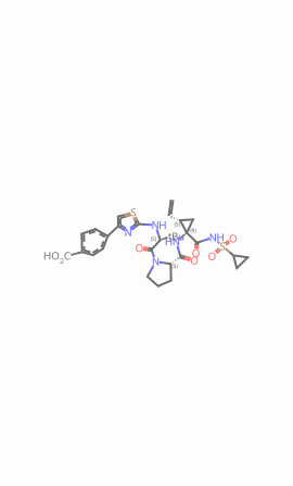 C=C[C@@H]1C[C@]1(NC(=O)[C@@H]1CCCN1C(=O)[C@@H](Nc1nc(-c2ccc(C(=O)O)cc2)cs1)C(C)(C)C)C(=O)NS(=O)(=O)C1CC1